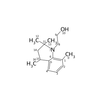 Cc1cccc2c1N(CCO)C(C)(C)CC2C